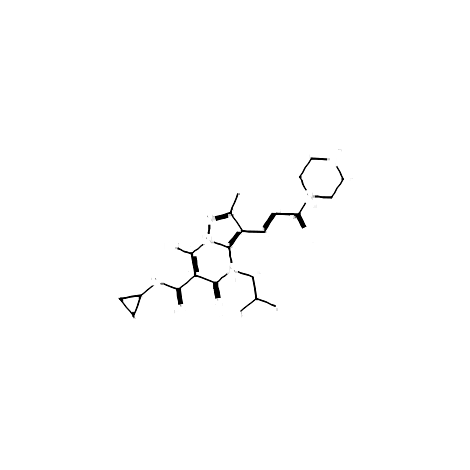 Cc1nn2c(O)c(C(=O)NC3CC3)c(=O)n(CC(C)C)c2c1C=CC(=O)N1CCOCC1